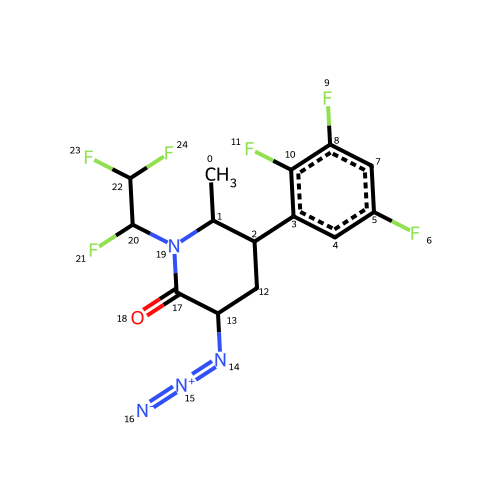 CC1C(c2cc(F)cc(F)c2F)CC(N=[N+]=[N-])C(=O)N1C(F)C(F)F